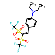 CCN(CC)c1ccc(C=C(S(=O)(=O)C(F)(F)F)S(=O)(=O)C(F)(F)F)cc1